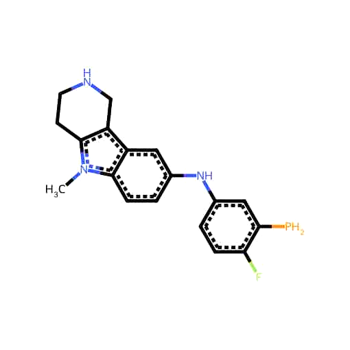 Cn1c2c(c3cc(Nc4ccc(F)c(P)c4)ccc31)CNCC2